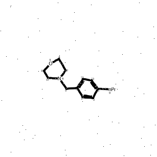 CCCc1ccc(CN2CCOCC2)cc1